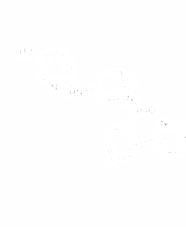 Cc1ccc(NC2CC3CC2N(C(=O)c2ccccc2-c2ccccn2)C3)nc1